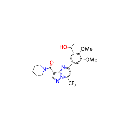 COc1cc(-c2cc(C(F)(F)F)n3ncc(C(=O)N4CCCCC4)c3n2)cc(C(C)O)c1OC